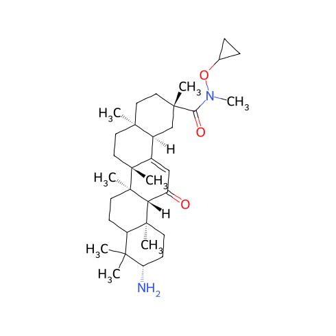 CN(OC1CC1)C(=O)[C@@]1(C)CC[C@]2(C)CC[C@]3(C)C(=CC(=O)[C@@H]4[C@@]5(C)CC[C@H](N)C(C)(C)C5CC[C@]43C)[C@@H]2C1